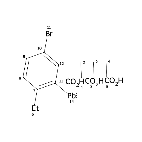 CC(=O)O.CC(=O)O.CC(=O)O.CCc1ccc(Br)c[c]1[Pb]